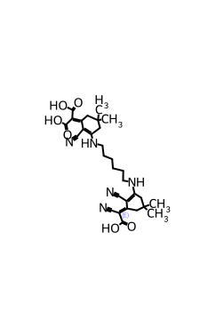 CC1(C)CC(NCCCCCCNC2=C(C#N)/C(=C(\C#N)C(=O)O)CC(C)(C)C2)=C(C#N)C(=C(C(=O)O)C(=O)O)C1